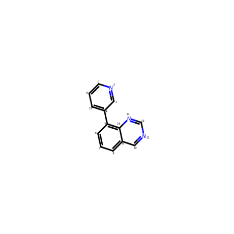 c1cncc(-c2cccc3cncnc23)c1